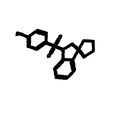 O=S(=O)(c1ccc(Br)cc1)N1CC2(CCCC2)c2ccccc21